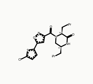 CC(C)C[C@H]1CN(C(=O)c2cc(-c3ccc(Cl)s3)on2)[C@@H](CC(C)C)C(=O)N1